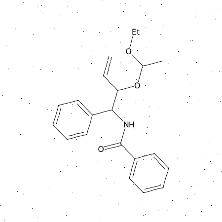 C=CC(OC(C)OCC)C(NC(=O)c1ccccc1)c1ccccc1